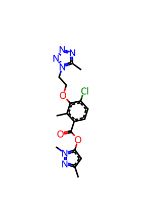 Cc1cc(OC(=O)c2ccc(Cl)c(OCCn3nnnc3C)c2C)n(C)n1